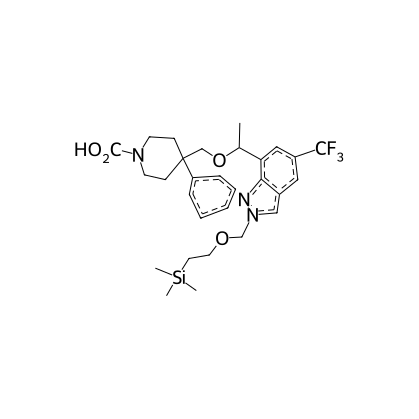 CC(OCC1(c2ccccc2)CCN(C(=O)O)CC1)c1cc(C(F)(F)F)cc2cn(COCC[Si](C)(C)C)nc12